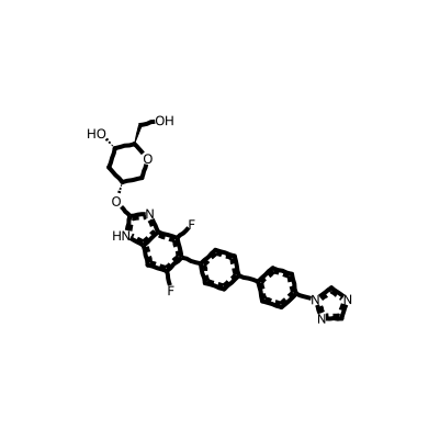 OC[C@H]1OC[C@H](Oc2nc3c(F)c(-c4ccc(-c5ccc(-n6cncn6)cc5)cc4)c(F)cc3[nH]2)C[C@@H]1O